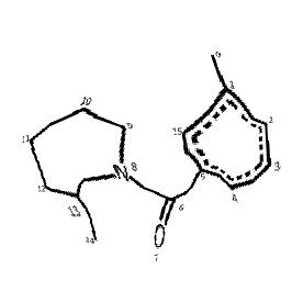 Cc1cccc(C(=O)N2CCCCC2C)c1